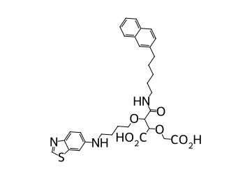 O=C(O)COC(C(=O)O)C(OCCCCNc1ccc2ncsc2c1)C(=O)NCCCCCc1ccc2ccccc2c1